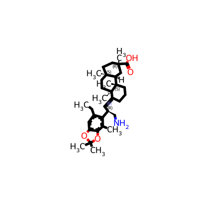 CCc1cc2c(c(C)c1[C@@H](/C=C1\CCC[C@@]3(C)[C@@H]4C[C@](C)(C(=O)O)CC[C@]4(C)CC[C@]13C)CN)OC(C)(C)O2